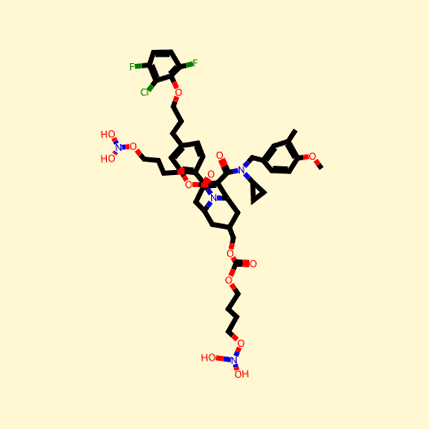 COc1ccc(CN(C(=O)C2=C(c3ccc(CCCOc4c(F)ccc(F)c4Cl)cc3)CC3CC(COC(=O)OCCCCON(O)O)CC2N3C(=O)OCCCCON(O)O)C2CC2)cc1C